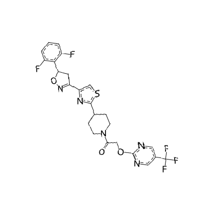 O=C(COc1ncc(C(F)(F)F)cn1)N1CCC(c2nc(C3=NOC(c4c(F)cccc4F)C3)cs2)CC1